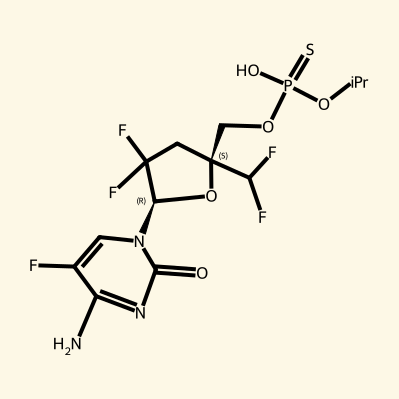 CC(C)OP(O)(=S)OC[C@]1(C(F)F)CC(F)(F)[C@H](n2cc(F)c(N)nc2=O)O1